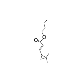 CCCCOC(=O)C=CC1CC1(C)C